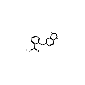 NC(=O)c1ccccc1Cc1ccc2c(c1)OCO2